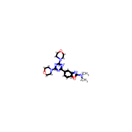 CN(C)c1nc2cc(-c3nc(N4CCOCC4)nc(N4CCOCC4)n3)ccc2o1